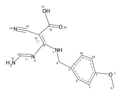 COc1ccc(CNC(/N=C/N)=C(/C#N)C(=O)O)cc1